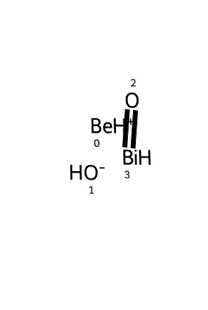 [BeH+].[OH-].[O]=[BiH]